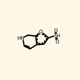 O=[SH](=O)c1cc2c(o1)CNC=C2